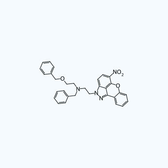 O=[N+]([O-])c1ccc2c3c(nn2CCN(CCOCc2ccccc2)Cc2ccccc2)-c2ccccc2Oc13